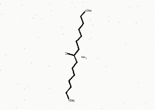 CCCCCCCCCCCCCCCCC(Cl)CCCCCCCCCCCCCCCC.N